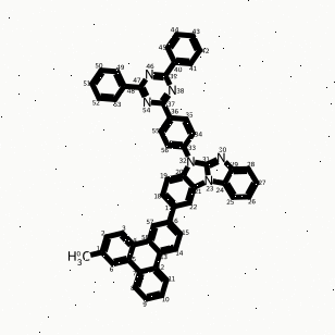 Cc1ccc2c(c1)c1ccccc1c1ccc(-c3ccc4c(c3)n3c5ccccc5nc3n4-c3ccc(-c4nc(-c5ccccc5)nc(-c5ccccc5)n4)cc3)cc12